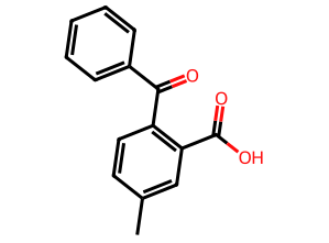 Cc1ccc(C(=O)c2ccccc2)c(C(=O)O)c1